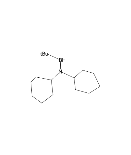 CC(C)(C)BN(C1CCCCC1)C1CCCCC1